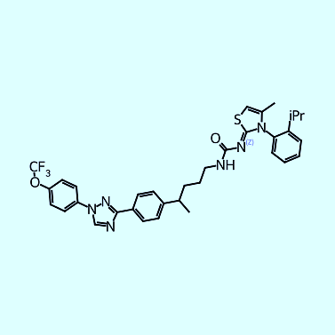 Cc1cs/c(=N\C(=O)NCCCC(C)c2ccc(-c3ncn(-c4ccc(OC(F)(F)F)cc4)n3)cc2)n1-c1ccccc1C(C)C